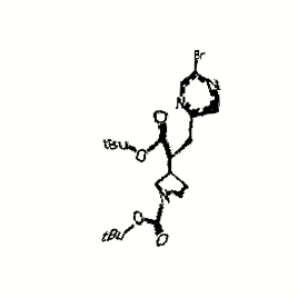 CC(C)(C)OC(=O)[C@@H](Cc1cnc(Br)cn1)[C@H]1CCN(C(=O)OC(C)(C)C)C1